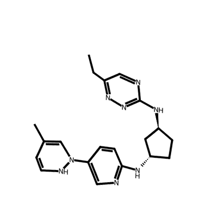 CCc1cnc(N[C@H]2CC[C@H](Nc3ccc(N4C=C(C)C=CN4)cn3)C2)nn1